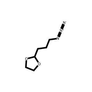 [N-]=[N+]=NCCCC1OCCO1